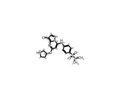 CN(C)S(=O)(=O)c1ccc(Nc2cc(O[C@H]3CCNC3)nc3c(Cl)cnn23)cc1